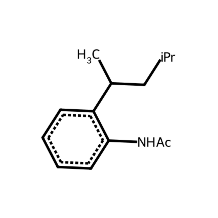 CC(=O)Nc1ccccc1C(C)CC(C)C